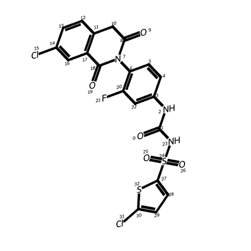 O=C(Nc1ccc(N2C(=O)Cc3ccc(Cl)cc3C2=O)c(F)c1)NS(=O)(=O)c1ccc(Cl)s1